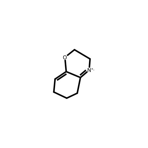 C1=C2OCC[N+]=C2CCC1